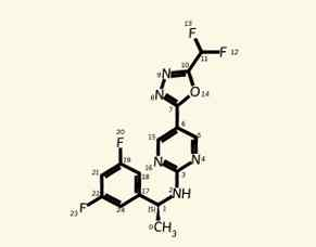 C[C@H](Nc1ncc(-c2nnc(C(F)F)o2)cn1)c1cc(F)cc(F)c1